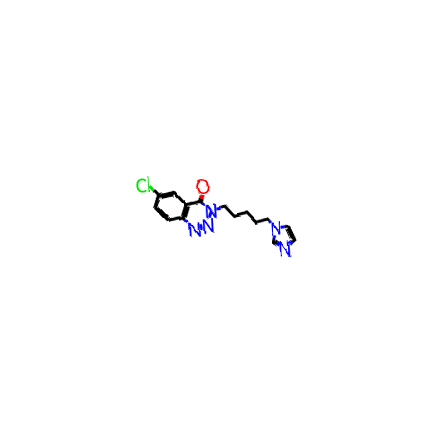 O=c1c2cc(Cl)ccc2nnn1CCCCCn1ccnc1